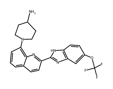 NC1CCN(c2cccc3ccc(-c4nc5cc(OC(F)(F)F)ccc5[nH]4)nc23)CC1